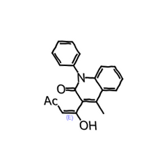 CC(=O)/C=C(/O)c1c(C)c2ccccc2n(-c2ccccc2)c1=O